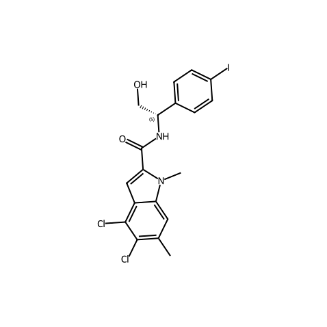 Cc1cc2c(cc(C(=O)N[C@H](CO)c3ccc(I)cc3)n2C)c(Cl)c1Cl